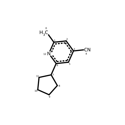 Cc1cc(C#N)cc(C2CCCC2)n1